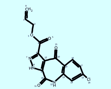 C=CCOC(=O)c1n[nH]c2c(=O)[nH]c3cc(Cl)ccc3c(=O)c12